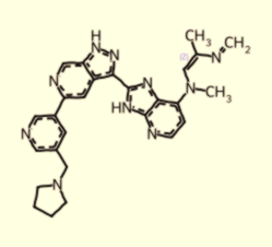 C=N/C(C)=C\N(C)c1ccnc2[nH]c(-c3n[nH]c4cnc(-c5cncc(CN6CCCC6)c5)cc34)nc12